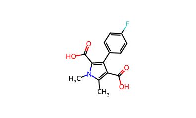 Cc1c(C(=O)O)c(-c2ccc(F)cc2)c(C(=O)O)n1C